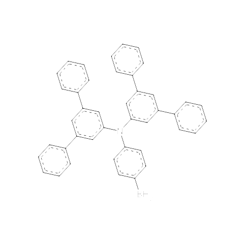 Bc1ccc(N(c2cc(-c3ccccc3)cc(-c3ccccc3)c2)c2cc(-c3ccccc3)cc(-c3ccccc3)c2)cc1